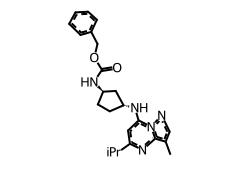 Cc1cnn2c(N[C@@H]3CC[C@@H](NC(=O)OCc4ccccc4)C3)cc(C(C)C)nc12